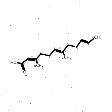 C/C=C/CC/C(C)=C/CC/C(C)=C/C(=O)O